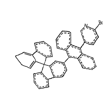 Brc1ccc(-c2c3ccccc3c(-c3ccc4c(c3)C3(C5=CCCC=C5c5ccccc53)c3ccccc3-4)c3ccccc23)cn1